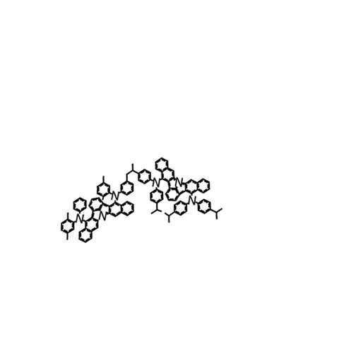 Cc1ccc(C)c(N(c2ccccc2)c2c3ccccc3cc3c2c2cccc4c5c(N(c6cccc(CC(C)c7ccc(N(c8ccc(C(C)C)cc8)c8c9ccccc9cc9c8c8cccc%10c%11c(N(c%12ccc(C(C)C)cc%12)c%12ccc(C(C)C)cc%12)c%12ccccc%12cc%11n9c%108)cc7)c6)c6cc(C)ccc6C)c6ccccc6cc5n3c24)c1